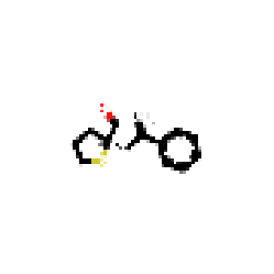 C=C(C[C@@]1(C=O)CCCS1)c1ccccc1